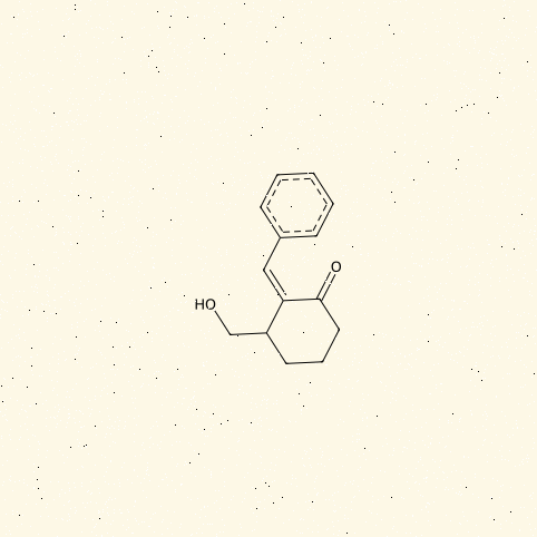 O=C1CCCC(CO)C1=Cc1ccccc1